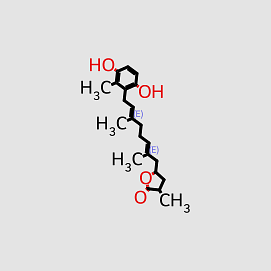 C/C(=C\Cc1c(O)ccc(O)c1C)CC/C=C(\C)CC1CC(C)C(=O)O1